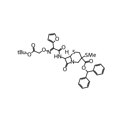 CSC1(C(=O)OC(c2ccccc2)c2ccccc2)CS[C@@H]2C(NC(=O)C(=NOCC(=O)OC(C)(C)C)c3ccco3)C(=O)N2C1